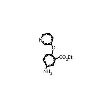 CCOC(=O)c1cc(N)ccc1Oc1cccnc1